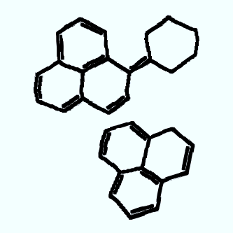 C1=Cc2cccc3cccc(c23)C1.c1cc2cccc3c(=C4CCCCC4)ccc(c1)c23